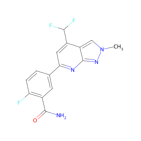 Cn1cc2c(C(F)F)cc(-c3ccc(F)c(C(N)=O)c3)nc2n1